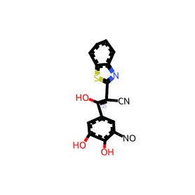 N#C/C(=C(/O)c1cc(O)c(O)c(N=O)c1)c1nc2ccccc2s1